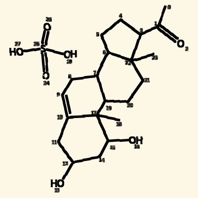 CC(=O)C1CCC2C3CC=C4CC(O)CC(O)C4(C)C3CCC12C.O=S(=O)(O)O